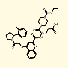 CCOC(=O)N1CCN(C(=O)[C@H](CCC(=O)O)NC(=O)c2cc(OCC(=O)N3CCCC3c3ccccc3C)c3ccccc3n2)CC1